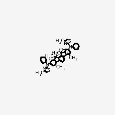 Cc1csc(N(c2ccccc2)c2cc(C)c3c(c2)C(C)(C)c2c-3ccc3c2C(C)(C)c2cc(N(c4ccccc4)c4nc(C)cs4)cc(C)c2-3)n1